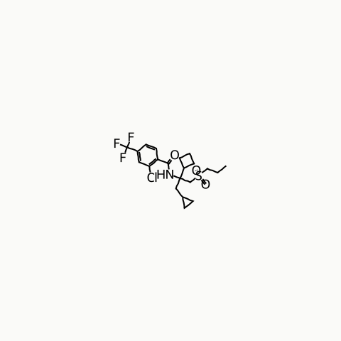 CCCS(=O)(=O)CC(CC1CC1)(NC(=O)c1ccc(C(F)(F)F)cc1Cl)C1CCC1